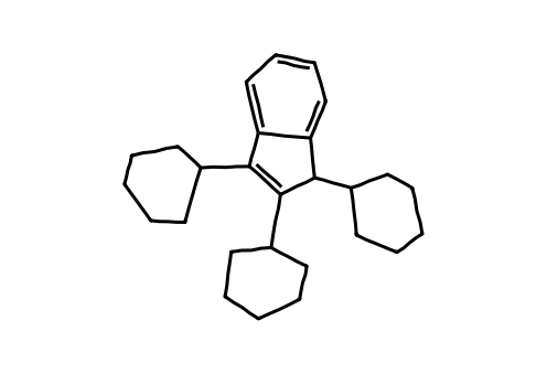 c1ccc2c(c1)C(C1CCCCC1)=C(C1CCCCC1)C2C1CCCCC1